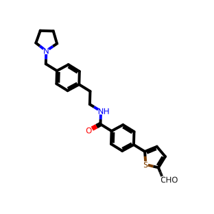 O=Cc1ccc(-c2ccc(C(=O)NCCc3ccc(CN4CCCC4)cc3)cc2)s1